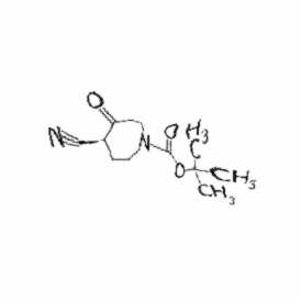 CC(C)(C)OC(=O)N1CC[C@@H](C#N)C(=O)C1